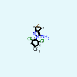 Nc1c2c(nn1-c1c(Cl)cc(C(F)(F)F)cc1Cl)CSC2